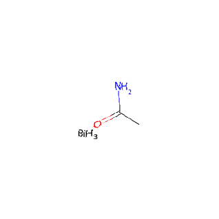 CC(N)=O.[BiH3]